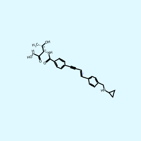 C[C@H](O)[C@H](NC(=O)c1ccc(C#C/C=C/c2ccc(CNC3CC3)cc2)cc1)C(=O)NO